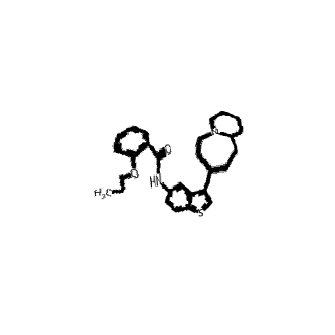 CCCOc1ccccc1C(=O)Nc1ccc2scc(C3CCC4CCCCN4CC3)c2c1